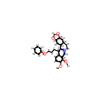 COc1ccc2c(CCCOc3ccccc3)c3[n+](cc2c1OC)CCc1cc2c(cc1-3)OCO2